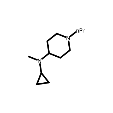 CCCN1CCC(N(C)C2CC2)CC1